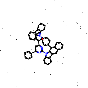 c1ccc(-c2cc(-c3ccccc3)nc(-n3c4ccccc4c4cc5ccccc5c(-c5ccc(-n6c7ccccc7c7ccccc76)cc5)c43)n2)cc1